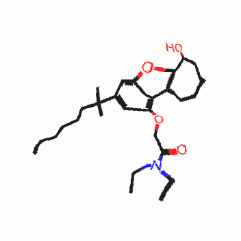 CCCCCCC(C)(C)c1cc(OCC(=O)N(CC)CC)c2c(c1)OC1C(O)CCCCC21